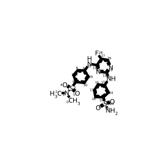 CN(C)S(=O)(=O)c1ccc(Nc2nc(Nc3cccc(S(N)(=O)=O)c3)ncc2F)cc1